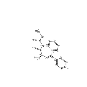 CC(C)(C)OC(=O)N1C(=O)[C@H](N)N=C(c2ccccc2)c2ccccc21